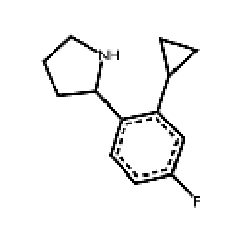 Fc1ccc(C2CCCN2)c(C2CC2)c1